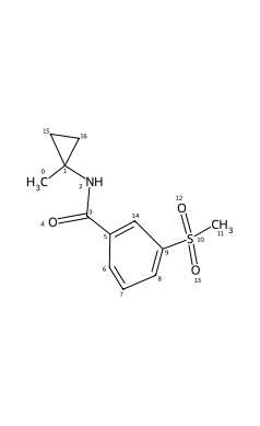 CC1(NC(=O)c2cccc(S(C)(=O)=O)c2)CC1